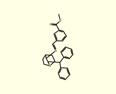 COC(=O)c1cccc(C=NC2C3CCN(CC3)C2C(c2ccccc2)c2ccccc2)c1